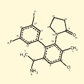 Cc1c(Cl)cc(C(C)N)c(-c2cc(F)cc(F)c2)c1N1CCCC1=O